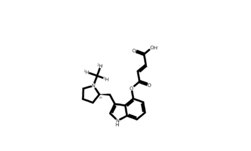 [2H]C([2H])([2H])N1CCC[C@@H]1Cc1c[nH]c2cccc(OC(=O)/C=C/C(=O)O)c12